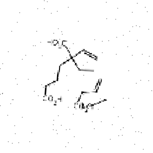 C=CC(C=C)(CCCC(=O)O)C(=O)O.C=CCC(=O)O.CC#N